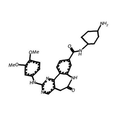 COc1ccc(Nc2ncc3c(n2)-c2ccc(C(=O)NC4CCC(N)CC4)cc2NC(=O)C3)cc1OC